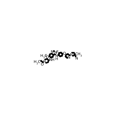 C=CC(=O)N1CCC(Nc2cc3c(Nc4ccc(Oc5ccnc(N6CC[C@@](C)(C#N)C6)c5)cc4F)ncnc3cc2OC)CC1